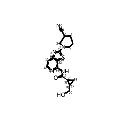 N#CC1CCCN(c2nc3ccnc(NC(=O)[C@H]4C[C@H]4CO)c3s2)C1